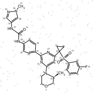 C[C@H]1COCCN1c1cc(C2(S(=O)(=O)c3cccc(F)c3)CC2)nc(-c2ccc(NC(=O)Nc3cnn(C)c3)cc2)n1